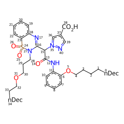 CCCCCCCCCCCCCCOc1ccccc1NC(=O)C(C1=Nc2ccccc2S(=O)(=O)N1CCCOCCCCCCCCCCCC)n1cc(C(=O)O)cn1